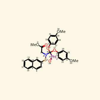 COC(=O)CN(Sc1ccc2ccccc2c1)C(Oc1ccc(OC)cc1)(Oc1ccc(OC)cc1)[PH2]=O